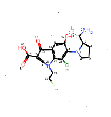 C[C@H](N)C1CCCN1c1c(O)cc2c(=O)c(C(=O)O)cn(CCF)c2c1Cl